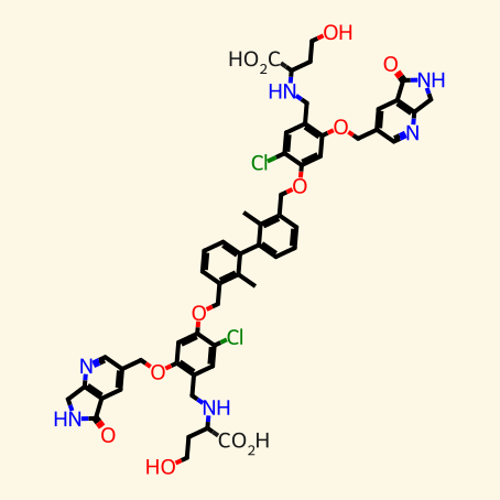 Cc1c(COc2cc(OCc3cnc4c(c3)C(=O)NC4)c(CNC(CCO)C(=O)O)cc2Cl)cccc1-c1cccc(COc2cc(OCc3cnc4c(c3)C(=O)NC4)c(CNC(CCO)C(=O)O)cc2Cl)c1C